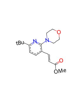 COC(=O)/C=C/c1ccc(C(C)(C)C)nc1N1CCOCC1